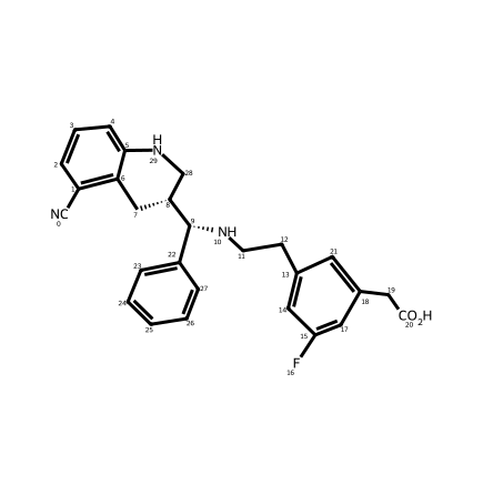 N#Cc1cccc2c1C[C@@H]([C@H](NCCc1cc(F)cc(CC(=O)O)c1)c1ccccc1)CN2